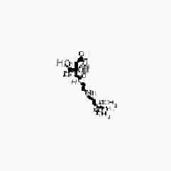 CO[Si](C)(CCCNCCNC(=O)CC(O)(CC(=O)O)C(=O)O)OC